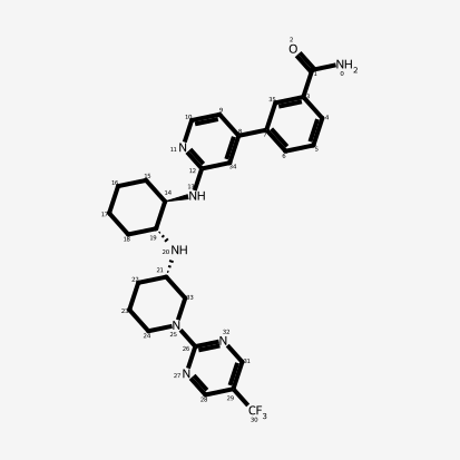 NC(=O)c1cccc(-c2ccnc(N[C@@H]3CCCC[C@H]3N[C@H]3CCCN(c4ncc(C(F)(F)F)cn4)C3)c2)c1